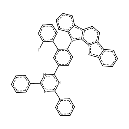 Fc1ccccc1-c1cc(-c2nc(-c3ccccc3)nc(-c3ccccc3)n2)ccc1-n1c2ccccc2c2ccc3c4ccccc4sc3c21